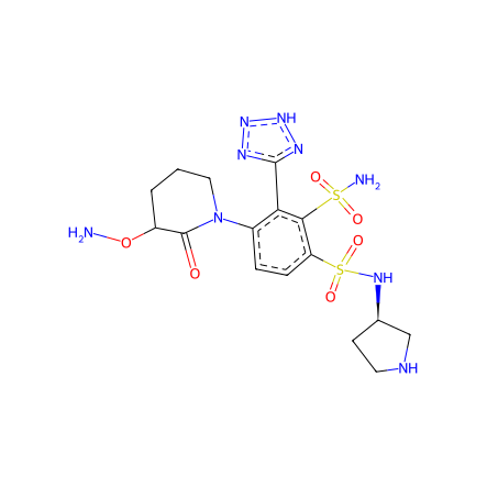 NOC1CCCN(c2ccc(S(=O)(=O)N[C@@H]3CCNC3)c(S(N)(=O)=O)c2-c2nn[nH]n2)C1=O